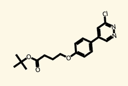 CC(C)(C)OC(=O)CCCOc1ccc(-c2cnnc(Cl)c2)cc1